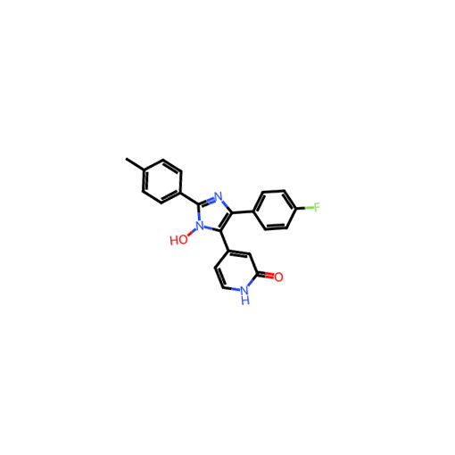 Cc1ccc(-c2nc(-c3ccc(F)cc3)c(-c3cc[nH]c(=O)c3)n2O)cc1